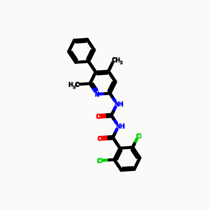 Cc1cc(NC(=O)NC(=O)c2c(Cl)cccc2Cl)nc(C)c1-c1ccccc1